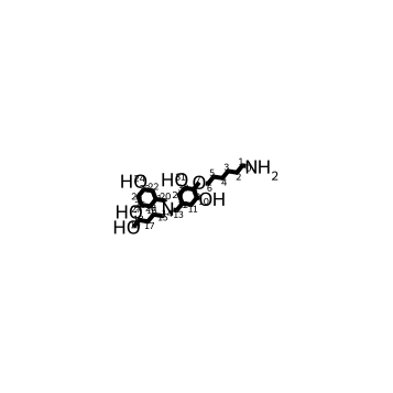 NCCCCCCOC1C(O)CC(CN(CCCCO)CC2CC(O)C[C@@H](O)C2)CC1O